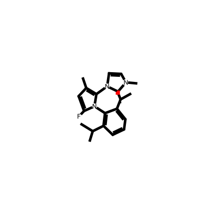 Cc1cc(F)n(-c2c(C(C)C)cccc2C(C)C)c1N1C=CN(C)[C@@H]1C